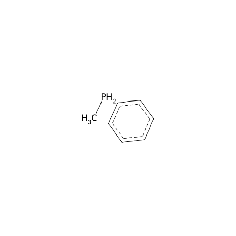 CP.c1ccccc1